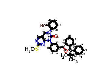 CSc1ncc2c(n1)N(c1cccc(CO[Si](c3ccccc3)(c3ccccc3)C(C)(C)C)c1)C(=O)N(c1ccccc1Br)C2